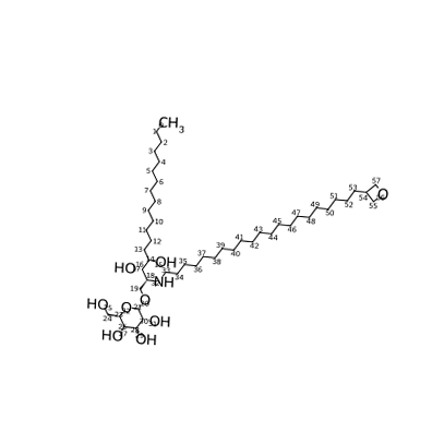 CCCCCCCCCCCCCC[C@@H](O)[C@@H](O)[C@H](CO[C@H]1O[C@H](CO)[C@H](O)[C@H](O)[C@H]1O)NCCCCCCCCCCCCCCCCCCCCCC1COC1